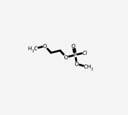 COCCOP(=O)(Cl)OC